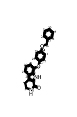 O=C1NCCc2c1[nH]c1c(Oc3ccc(OCc4ccccc4)cc3)cccc21